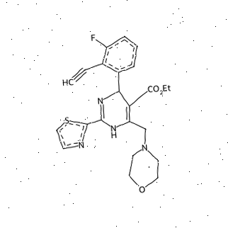 C#Cc1c(F)cccc1C1N=C(c2nccs2)NC(CN2CCOCC2)=C1C(=O)OCC